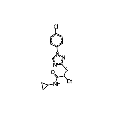 CCC(Sc1ncn(-c2ccc(Cl)cc2)n1)C(=O)NC1CC1